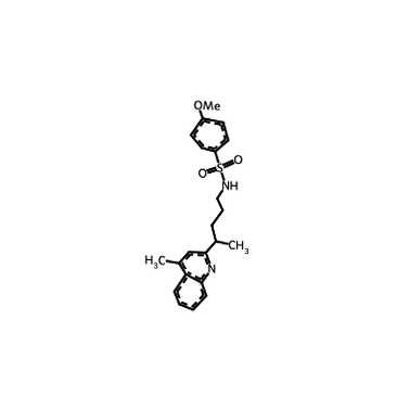 COc1ccc(S(=O)(=O)NCCCC(C)c2cc(C)c3ccccc3n2)cc1